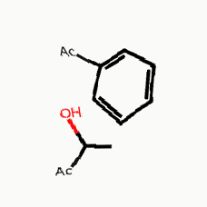 CC(=O)C(C)O.CC(=O)c1ccccc1